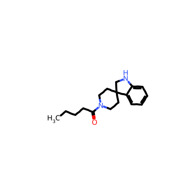 CCCCC(=O)N1CCC2(CC1)CNc1ccccc12